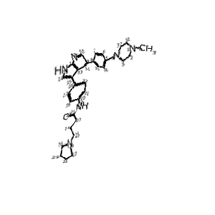 CN1CCN(c2ccc(-c3cnc4[nH]cc(-c5ccc(NC(=O)CCCN6CCCC6)cc5)c4c3)cc2)CC1